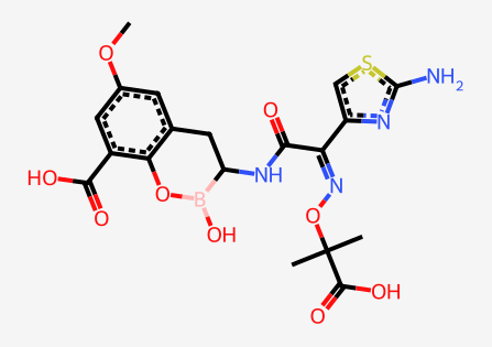 COc1cc2c(c(C(=O)O)c1)OB(O)C(NC(=O)C(=NOC(C)(C)C(=O)O)c1csc(N)n1)C2